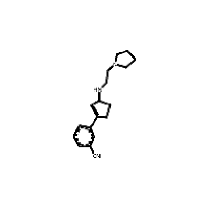 N#Cc1cccc(C2=CC(NCCN3CCCC3)CC2)c1